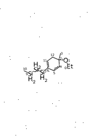 CCOC1(C)C=CC([SiH2][SiH2][SiH2]C)=CC1